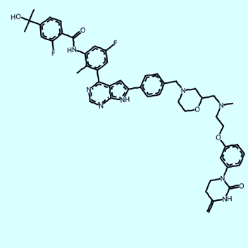 C=C1CCN(c2cccc(OCCN(C)CC3CN(Cc4ccc(-c5cc6c(-c7cc(F)cc(NC(=O)c8ccc(C(C)(C)O)cc8F)c7C)ncnc6[nH]5)cc4)CCO3)c2)C(=O)N1